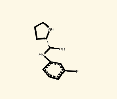 OC(Nc1cccc(F)c1)[C@@H]1CCCN1